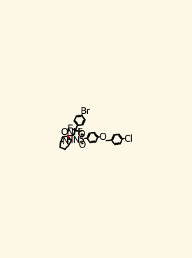 NC1CC2CCC(C1)N2C(=O)C(NS(=O)(=O)c1ccc(OCc2ccc(Cl)cc2)cc1)C(F)(F)c1ccc(Br)cc1